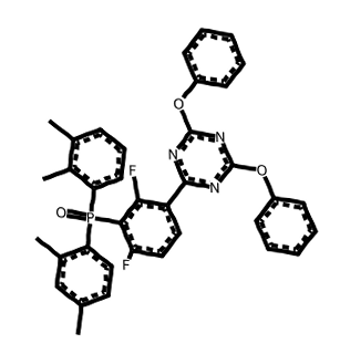 Cc1ccc(P(=O)(c2cccc(C)c2C)c2c(F)ccc(-c3nc(Oc4ccccc4)nc(Oc4ccccc4)n3)c2F)c(C)c1